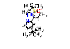 CC[C](N[S+]([O-])C(C)(C)C)c1cc(C(C)(C)C)ccn1